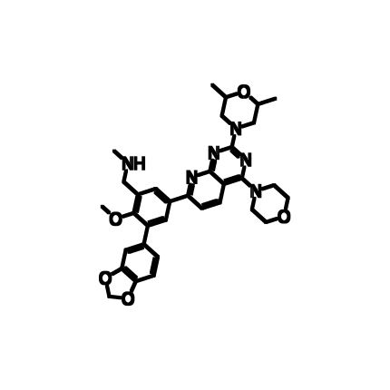 CNCc1cc(-c2ccc3c(N4CCOCC4)nc(N4CC(C)OC(C)C4)nc3n2)cc(-c2ccc3c(c2)OCO3)c1OC